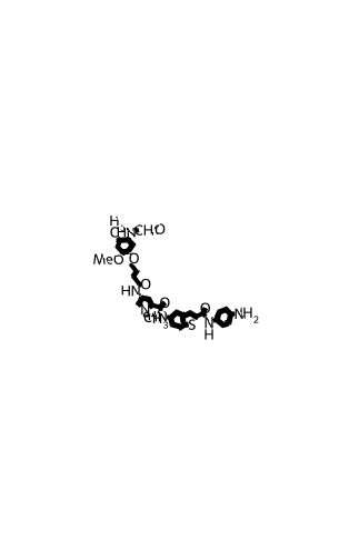 COc1cc(C)c(NC=O)cc1OCCCC(=O)Nc1cc(C(=O)Nc2ccc3sc(C(=O)Nc4ccc(N)cc4)cc3c2)n(C)c1